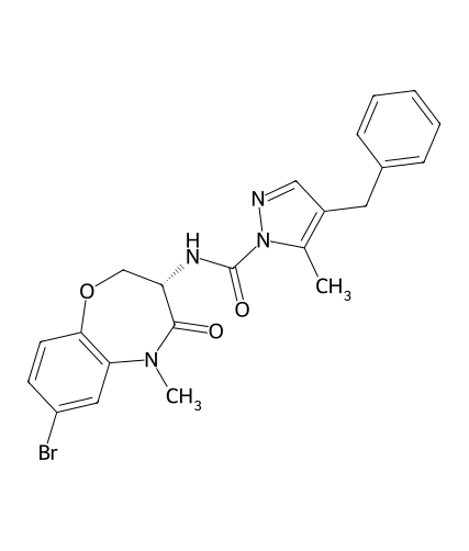 Cc1c(Cc2ccccc2)cnn1C(=O)N[C@H]1COc2ccc(Br)cc2N(C)C1=O